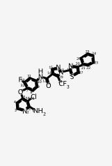 Nc1nccc(Oc2ccc(NC(=O)c3cnn(-c4nc(-c5ccccc5)cs4)c3C(F)(F)F)cc2F)c1Cl